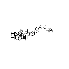 CC(C)CCC[C@@H](C)[C@H]1CCC2C3CC=C4C[C@H](OCCCCCCC(N)[C@H]5O[C@@H](S)[C@@H](O)[C@@H](O)[C@@H]5O)CC[C@]4(C)C3CC[C@@]21C